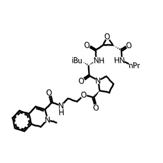 CCCNC(=O)[C@H]1OC1C(=O)N[C@H](C(=O)N1CCC[C@H]1C(=O)OCCNC(=O)C1=Cc2ccccc2CN1C)[C@@H](C)CC